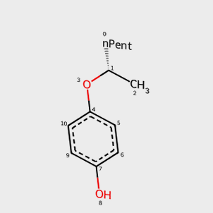 CCCCC[C@H](C)Oc1ccc(O)cc1